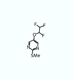 CSc1ncc(OC(F)C(F)F)cn1